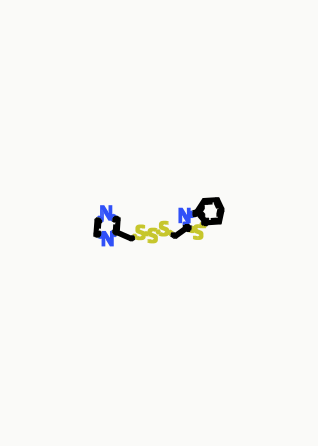 c1ccc2sc(CSSSCc3cnccn3)nc2c1